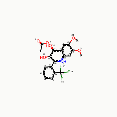 CC(=O)O.COc1cc2[nH]c(-c3ccccc3C(F)(F)F)c(O)c(=O)c2cc1OC